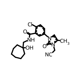 Cc1cn(-c2ccc(Cl)c(C(=O)NCC3(O)CCCCCC3)c2)c(=O)n1CC#N